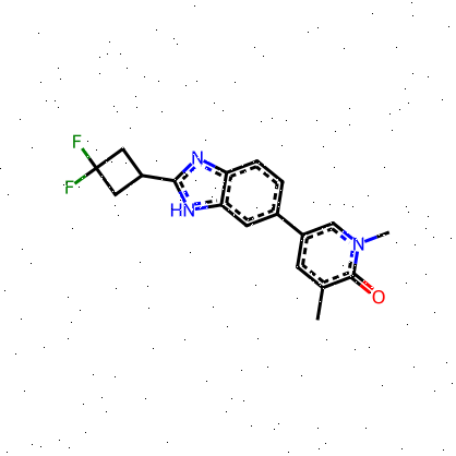 Cc1cc(-c2ccc3nc(C4CC(F)(F)C4)[nH]c3c2)cn(C)c1=O